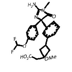 COC1(CC(=O)O)CC(c2cccc(C3(c4ccc(OC(F)F)cc4)N=C(N)N(C)C3=O)c2)C1